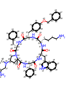 NCCCC[C@@H]1NC(=O)[C@@H](Cc2c[nH]c3ccccc23)NC(=O)[C@H](c2ccccc2)NC(=O)[C@@H]2C[C@@H](N(CCN)C(=O)O)CN2C(=O)[C@H](Cc2ccccc2)NC(=O)[C@H](Cc2ccc(OCc3ccccc3)cc2)NC1=O